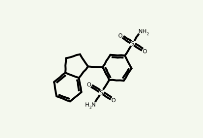 NS(=O)(=O)c1ccc(S(N)(=O)=O)c(C2CCc3ccccc32)c1